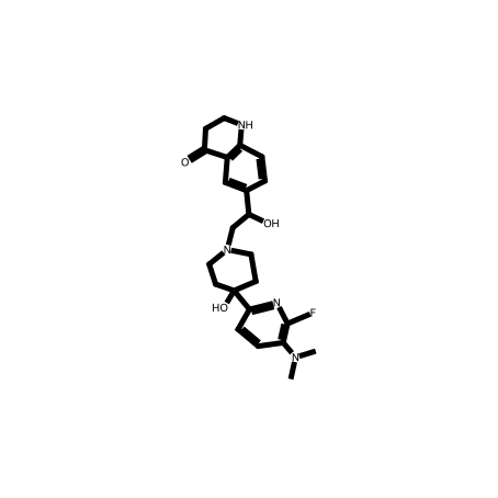 CN(C)c1ccc(C2(O)CCN(CC(O)c3ccc4c(c3)C(=O)CCN4)CC2)nc1F